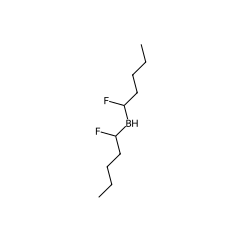 CCCCC(F)BC(F)CCCC